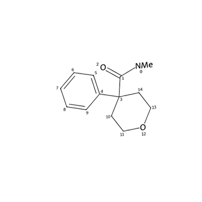 CNC(=O)C1(c2ccccc2)CCOCC1